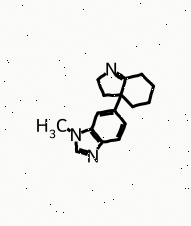 Cn1cnc2ccc(C34CCCCC3=NCC4)cc21